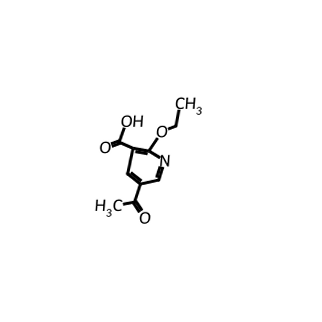 CCOc1ncc(C(C)=O)cc1C(=O)O